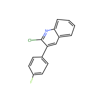 Fc1ccc(-c2cc3ccccc3nc2Cl)cc1